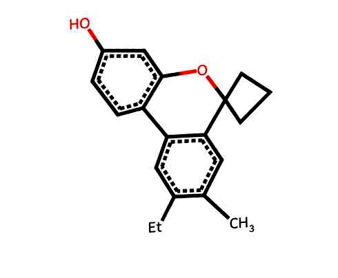 CCc1cc2c(cc1C)C1(CCC1)Oc1cc(O)ccc1-2